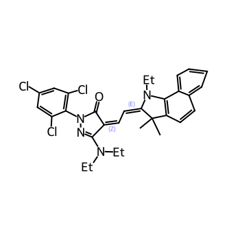 CCN(CC)C1=NN(c2c(Cl)cc(Cl)cc2Cl)C(=O)/C1=C\C=C1\N(CC)c2c(ccc3ccccc23)C1(C)C